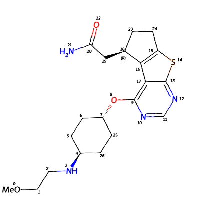 COCCN[C@H]1CC[C@H](Oc2ncnc3sc4c(c23)[C@@H](CC(N)=O)CC4)CC1